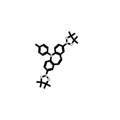 Cc1ccc(N2c3ccc(B4OC(C)(C)C(C)(C)O4)cc3C=Cc3cc(B4OC(C)(C)C(C)(C)O4)ccc32)cc1